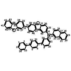 c1ccc(-c2ccc(-c3cccc(N(c4ccc5ccccc5c4)c4ccc5oc6cc(-c7ccc8c(c7)oc7ccccc78)ccc6c5c4)c3)cc2)cc1